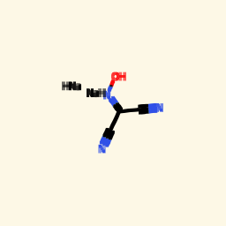 N#CC(C#N)=NO.[NaH].[NaH]